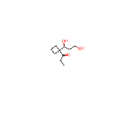 CCC(=O)C1([C@@H](O)CCO)CCC1